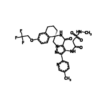 CNS(=O)(=O)CC(=O)Nc1c(-c2ccc(C)cn2)nn2c1C(=O)N[C@@]1(CCCc3cc(OCC(F)(F)F)ccc31)C2